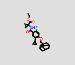 CCOC(=O)C1(NC(=O)c2cc(C3CC3)c(OCC34CC5CC(CC(C5)C3)C4)cc2F)CC1